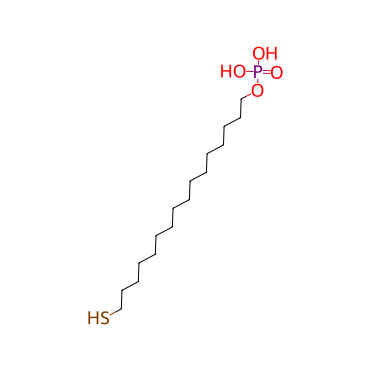 O=P(O)(O)OCCCCCCCCCCCCCCCCS